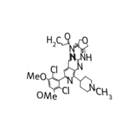 C=CC(=O)N[C@H]1COC[C@H]1Nc1ncc2cc(-c3c(Cl)c(OC)cc(OC)c3Cl)nc(C3CCN(C)CC3)c2n1